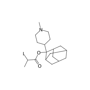 CC(I)C(=O)OC1(C2CCN(C)CC2)C2CC3CC(C2)CC1C3